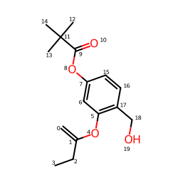 C=C(CC)Oc1cc(OC(=O)C(C)(C)C)ccc1CO